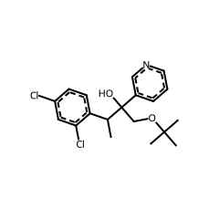 CC(c1ccc(Cl)cc1Cl)C(O)(COC(C)(C)C)c1cccnc1